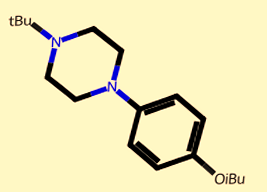 CC(C)COc1ccc(N2CCN(C(C)(C)C)CC2)cc1